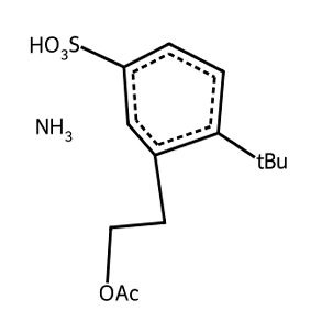 CC(=O)OCCc1cc(S(=O)(=O)O)ccc1C(C)(C)C.N